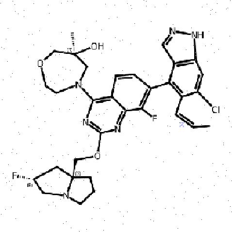 C/C=C\c1c(Cl)cc2[nH]ncc2c1-c1ccc2c(N3CCOC[C@@](C)(O)C3)nc(OC[C@@]34CCCN3C[C@H](F)C4)nc2c1F